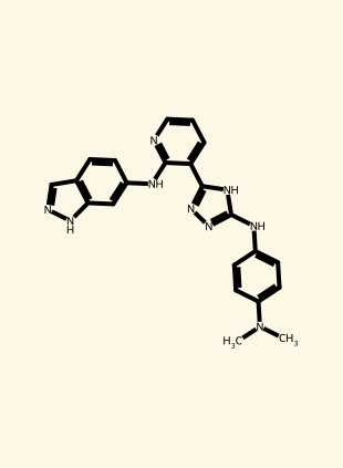 CN(C)c1ccc(Nc2nnc(-c3cccnc3Nc3ccc4cn[nH]c4c3)[nH]2)cc1